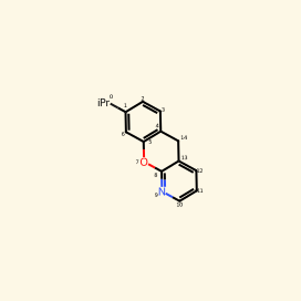 CC(C)c1ccc2c(c1)Oc1ncccc1C2